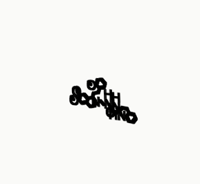 COc1ccccc1CCC1c2cc(OC)c(OC)cc2CCN1CCNC(=O)NC1(C)C=Cc2ccccc2N1